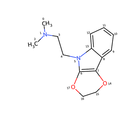 CN(C)CCn1c2c(c3ccccc31)OCCO2